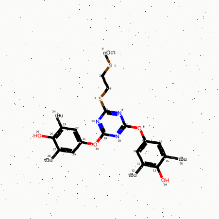 CCCCCCCCSCCSc1nc(Oc2cc(C(C)(C)C)c(O)c(C(C)(C)C)c2)nc(Oc2cc(C(C)(C)C)c(O)c(C(C)(C)C)c2)n1